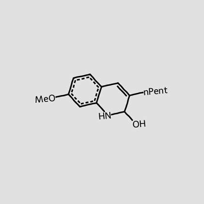 CCCCCC1=Cc2ccc(OC)cc2NC1O